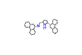 C(=N\c1cc2ccccc2c2ccccc12)/c1ccc(-c2cc3ccccc3c3ccccc23)[nH]1